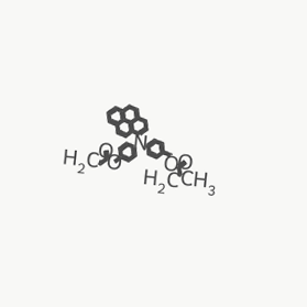 C=CC(=O)Oc1ccc(N(C2=CCC3=CCc4cccc5ccc2c3c45)c2ccc(COC(=O)C(=C)C)cc2)cc1